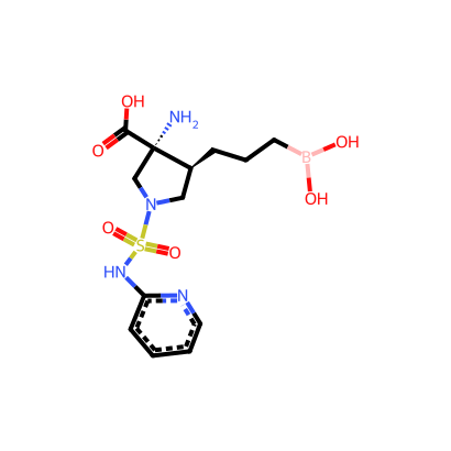 N[C@@]1(C(=O)O)CN(S(=O)(=O)Nc2ccccn2)C[C@@H]1CCCB(O)O